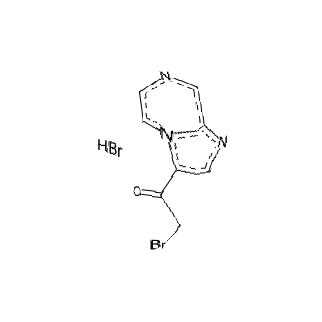 Br.O=C(CBr)c1cnc2cnccn12